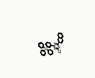 Clc1nc(-c2cccc([Si](c3ccccc3)(c3ccccc3)c3ccccc3)c2)nc(-c2ccc3ccccc3c2)n1